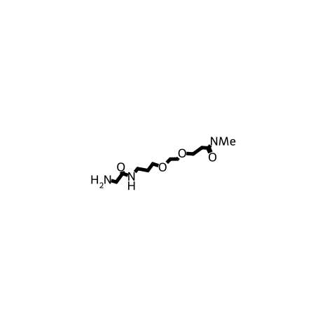 CNC(=O)CCOCCOCCCNC(=O)CN